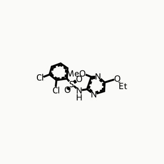 CCOc1cnc(NS(=O)(=O)c2cccc(Cl)c2Cl)c(OC)n1